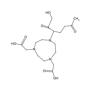 CC(=O)CCC(C(=O)CO)N1CCN(CC(=O)O)CCN(CC(=O)O)CC1